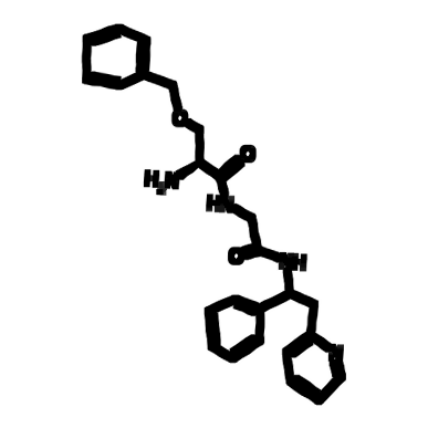 N[C@@H](COCc1ccccc1)C(=O)NCC(=O)NC(Cc1ccccn1)c1ccccc1